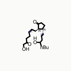 CCCCC(O)C/C=C/[C@H]1CCC(=O)[C@@H]1C/C=C\CCC(=O)CO